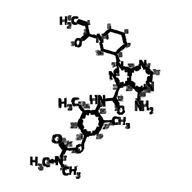 C=CC(=O)N1CCC[C@@H](n2nc(C(=O)Nc3c(C)cc(OC(=O)N(C)C)cc3C)c3c(N)ncnc32)C1